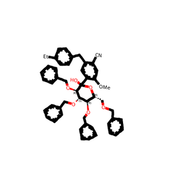 CCc1ccc(Cc2cc(C3(O)O[C@H](COCc4ccccc4)[C@@H](OCc4ccccc4)[C@H](OCc4ccccc4)[C@H]3OCc3ccccc3)c(OC)cc2C#N)cc1